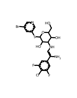 N/C(=C\NC1C(O)C(CO)OC(Sc2cncc(Br)c2)C1O)c1cc(F)c(Cl)c(F)c1